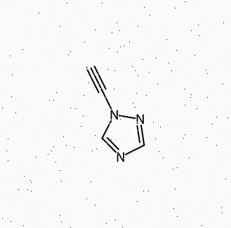 [C]#Cn1cncn1